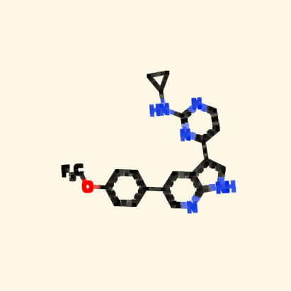 FC(F)(F)Oc1ccc(-c2cnc3[nH]cc(-c4ccnc(NC5CC5)n4)c3c2)cc1